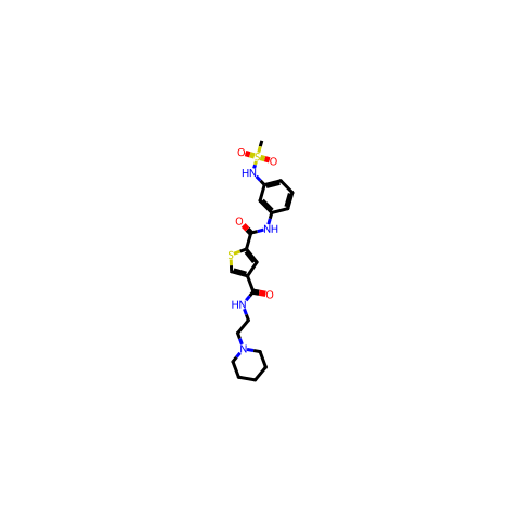 CS(=O)(=O)Nc1cccc(NC(=O)c2cc(C(=O)NCCN3CCCCC3)cs2)c1